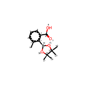 Cc1cccc(C(=O)O)c1B1OC(C)(C)C(C)(C)O1